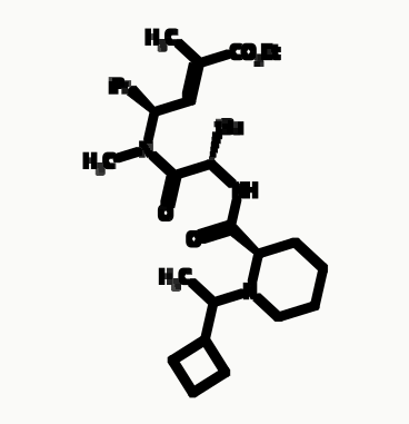 CCOC(=O)/C(C)=C/[C@H](C(C)C)N(C)C(=O)[C@@H](NC(=O)[C@H]1CCCCN1C(C)C1CCC1)C(C)(C)C